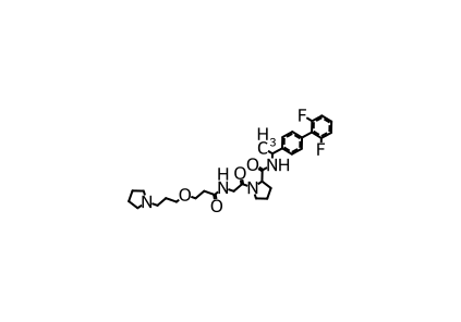 CC(NC(=O)C1CCCN1C(=O)CNC(=O)CCOCCCN1CCCC1)c1ccc(-c2c(F)cccc2F)cc1